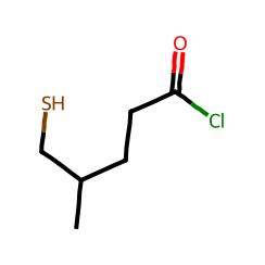 CC(CS)CCC(=O)Cl